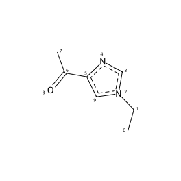 CCn1cnc(C(C)=O)c1